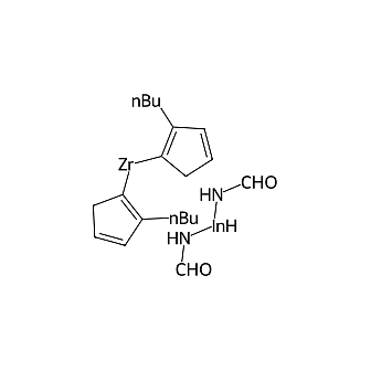 CCCCC1=[C]([Zr][C]2=C(CCCC)C=CC2)CC=C1.O=C[NH][InH][NH]C=O